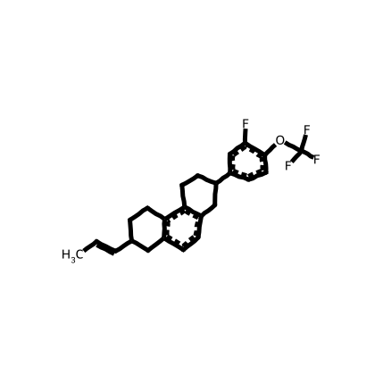 C/C=C/C1CCc2c(ccc3c2CCC(c2ccc(OC(F)(F)F)c(F)c2)C3)C1